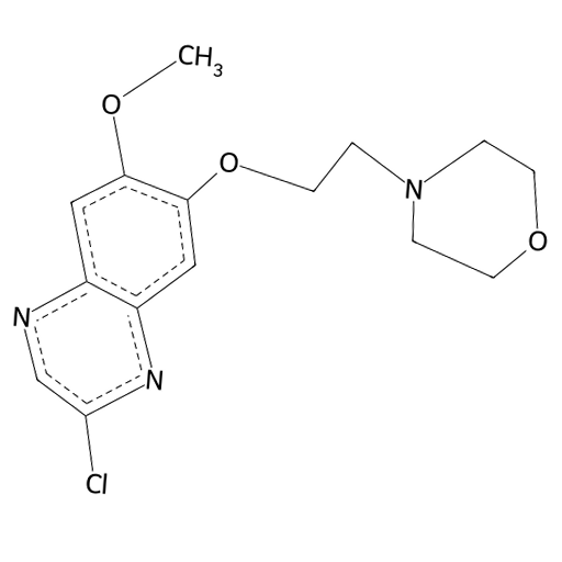 COc1cc2ncc(Cl)nc2cc1OCCN1CCOCC1